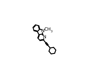 Cn1c2ccccc2c2ccc(C#CC3CCCCC3)nc21